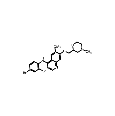 COc1cc2c(Nc3ccc(Br)cc3Br)ncnc2cc1OCC1CN(C)CCO1